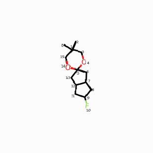 CC1(C)COC2(CC3CC(F)CC3C2)OC1